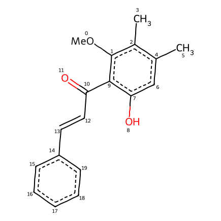 COc1c(C)c(C)cc(O)c1C(=O)/C=C/c1ccccc1